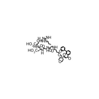 N=C(N)NCCC[C@H](NC(=O)CCC(=O)OC[N+]1(c2cc(=O)c3cccc(-c4ccccc4)c3o2)CCOCC1)C(=O)NCC(=O)N[C@@H](CC(=O)O)C(=O)NC(CO)C(=O)O